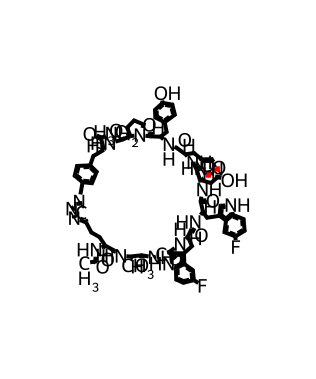 CC(=O)N[C@H]1CCc2cn(nn2)-c2ccc(cc2)C[C@@H](C(N)=O)NC(=O)[C@]2(C)CCCN2C(=O)[C@H](Cc2ccc(O)cc2)NC(=O)[C@H](Cc2cnc[nH]2)NC(=O)[C@H](CC(=O)O)NC(=O)[C@H](Cc2c[nH]c3ccc(F)cc23)NC(=O)[C@H](Cc2c[nH]c3ccc(F)cc23)NC(=O)CNC(=O)[C@H](C)NC1=O